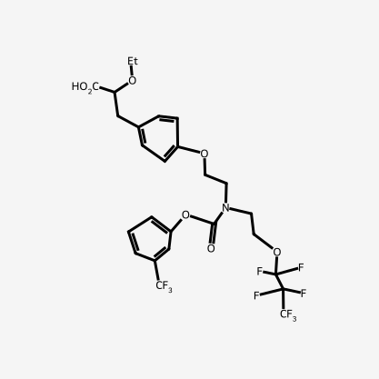 CCOC(Cc1ccc(OCCN(CCOC(F)(F)C(F)(F)C(F)(F)F)C(=O)Oc2cccc(C(F)(F)F)c2)cc1)C(=O)O